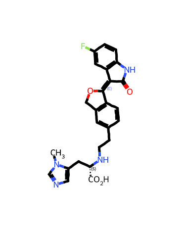 Cn1cncc1C[C@H](NCCc1ccc2c(c1)CO/C2=C1/C(=O)Nc2ccc(F)cc21)C(=O)O